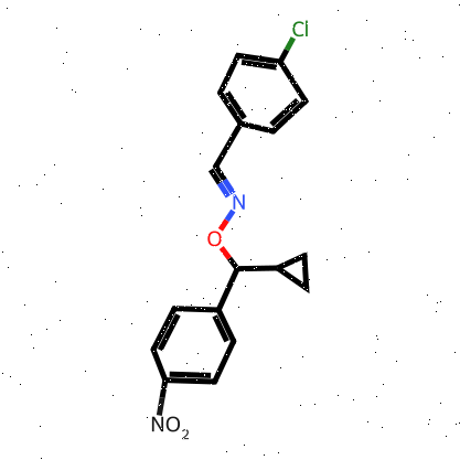 O=[N+]([O-])c1ccc(C(ON=Cc2ccc(Cl)cc2)C2CC2)cc1